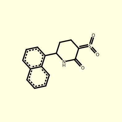 O=C1NC(c2cccc3ccccc23)CCC1=S(=O)=O